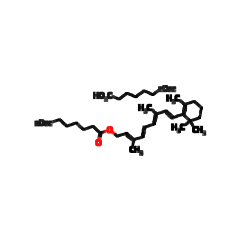 CCCCCCCCCCCCCCCC(=O)O.CCCCCCCCCCCCCCCC(=O)OCC=C(C)C=CC=C(C)C=CC1=C(C)CCCC1(C)C